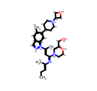 CC/C=C(C)/N=C(\C=C(/C)n1ncc2cc(C)c(C3CCN(C4COC4)CC3)cc21)N1CCOC(CO)C1